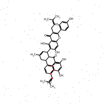 CC(C)=CCc1cc(C(=O)C2C(c3c(O)cc4oc(-c5ccc(O)cc5O)c(CC=C(C)C)c(=O)c4c3O)C=C(C)CC2c2ccc(CO)cc2O)c(O)cc1O